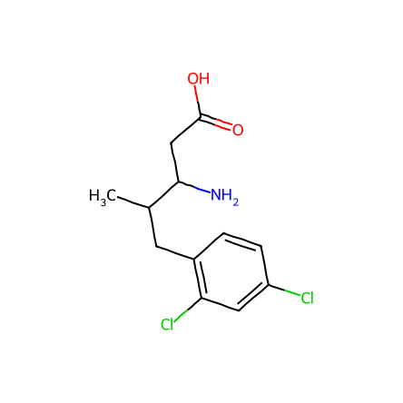 CC(Cc1ccc(Cl)cc1Cl)C(N)CC(=O)O